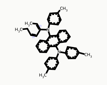 C/C=C(\C=C/CC)N(c1ccc(C)cc1)c1c2ccccc2c(N(c2ccc(C)cc2)c2ccc(C)cc2)c2ccccc12